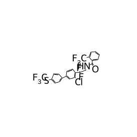 O=C(NCC(F)(F)c1ccc(-c2ccc(SC(F)(F)F)cc2)cc1Cl)c1ccccc1C(F)(F)F